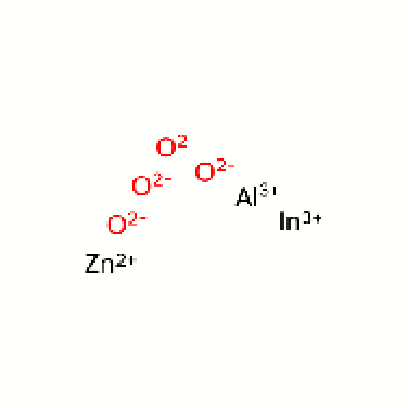 [Al+3].[In+3].[O-2].[O-2].[O-2].[O-2].[Zn+2]